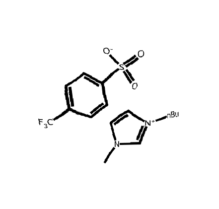 CCCC[n+]1ccn(C)c1.O=S(=O)([O-])c1ccc(C(F)(F)F)cc1